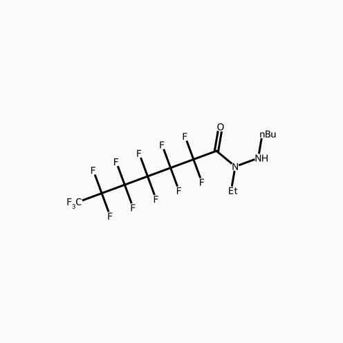 CCCCNN(CC)C(=O)C(F)(F)C(F)(F)C(F)(F)C(F)(F)C(F)(F)C(F)(F)F